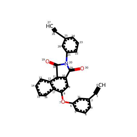 C#Cc1cccc(Oc2cc3c(c4ccccc24)C(=O)N(c2cccc(C#C)c2)C3=O)c1